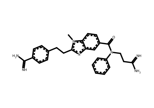 Cn1c(CCc2ccc(C(=N)N)cc2)nc2cc(C(=O)N(CCC(=N)N)c3ccccc3)ccc21